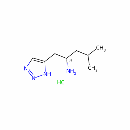 CC(C)C[C@H](N)Cc1cnn[nH]1.Cl